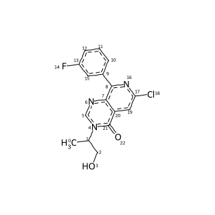 CC(CO)n1cnc2c(-c3cccc(F)c3)nc(Cl)cc2c1=O